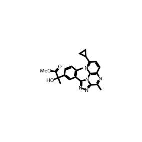 COC(=O)C(C)(O)c1ccc(C)c(-c2nnc3c(C)nc4ccc(C5CC5)nc4n23)c1